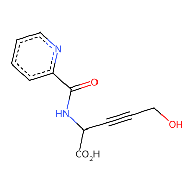 O=C(NC(C#CCO)C(=O)O)c1ccccn1